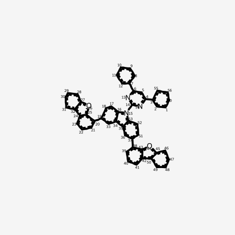 c1ccc(-c2cc(-c3ccccc3)nc(-n3c4ccc(-c5cccc6c5oc5ccccc56)cc4c4cc(-c5cccc6c5oc5ccccc56)ccc43)n2)cc1